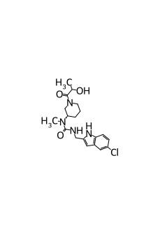 CC(O)C(=O)N1CCC[C@@H](N(C)C(=O)NCc2cc3cc(Cl)ccc3[nH]2)C1